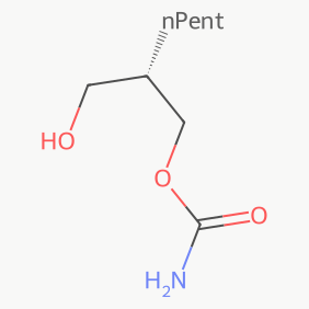 CCCCC[C@@H](CO)COC(N)=O